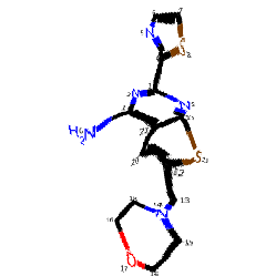 Nc1nc(-c2nccs2)nc2sc(CN3CCOCC3)cc12